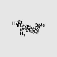 CCC(O)(C=Cc1ccc(C(CC)(CC)c2ccc(-c3ccccc3CC(=O)OC)cc2)cc1C)CC